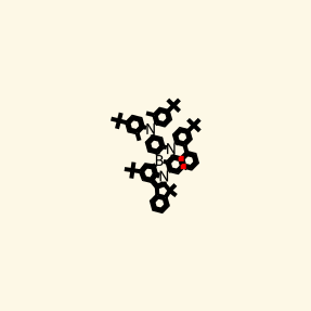 Cc1cc2c3c(c1)-n1c4c(c5cc(C(C)(C)C)cc(c51)B3c1ccc(N(c3ccc(C(C)(C)C)cc3C)c3ccc(C(C)(C)C)cc3C)cc1N2c1ccc(C(C)(C)C)cc1-c1ccccc1)-c1ccccc1C4(C)C